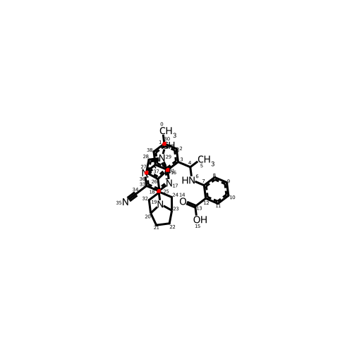 Cc1cc(C(C)Nc2ccccc2C(=O)O)c2nc(N3C4CCC3CC(c3ccn(C)n3)C4)c(C#N)nc2c1